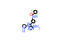 Nc1ncnc2c1c(-c1cccc(CNC(=O)c3c(F)cccc3F)c1)nn2[C@@H]1CCCNC1